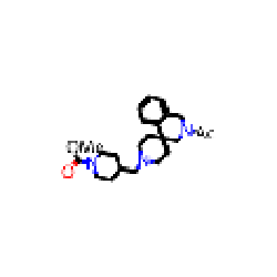 COC(=O)N1CCC(CN2CCC3(CC2)CN(C(C)=O)Cc2ccccc23)CC1